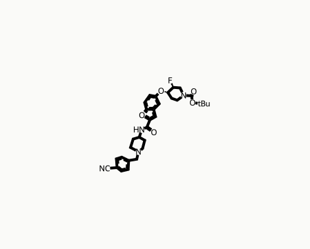 CC(C)(C)OC(=O)N1CC[C@H](Oc2ccc3oc(C(=O)NC4CCN(Cc5ccc(C#N)cc5)CC4)cc3c2)[C@@H](F)C1